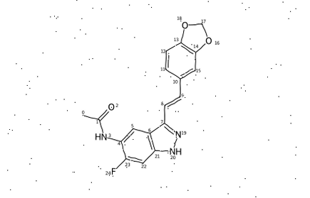 CC(=O)Nc1cc2c(C=Cc3ccc4c(c3)OCO4)n[nH]c2cc1F